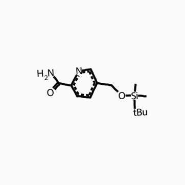 CC(C)(C)[Si](C)(C)OCc1ccc(C(N)=O)nc1